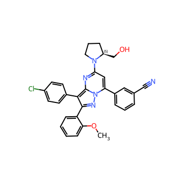 COc1ccccc1-c1nn2c(-c3cccc(C#N)c3)cc(N3CCC[C@H]3CO)nc2c1-c1ccc(Cl)cc1